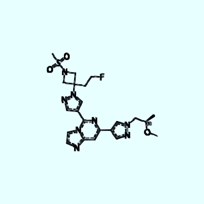 CO[C@H](C)Cn1cc(-c2cc3nccn3c(-c3cnn(C4(CCF)CN(S(C)(=O)=O)C4)c3)n2)cn1